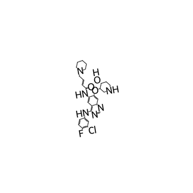 O=C(/C=C/CN1CCCCC1)Nc1cc2c(Nc3ccc(F)c(Cl)c3)ncnc2cc1OC1CNCCC1O